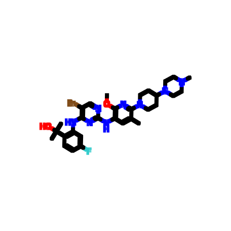 COc1nc(N2CCC(N3CCN(C)CC3)CC2)c(C)cc1Nc1ncc(Br)c(Nc2cc(F)ccc2C(C)(C)O)n1